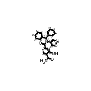 NC(=O)c1cnc(C(=O)N(c2cnoc2)C(c2ccccc2)c2ccccc2)nc1O